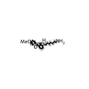 COc1ccc(NC(=O)c2cccc(NCCCCCCCN)c2C)nn1